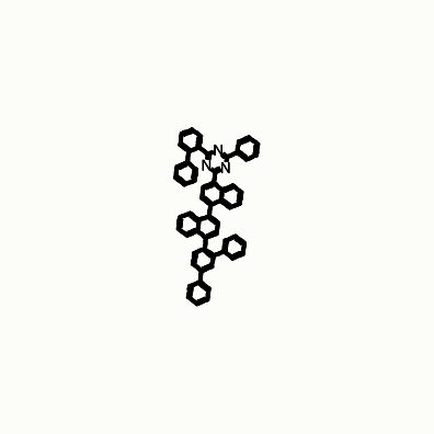 c1ccc(-c2ccc(-c3ccc(-c4ccc(-c5nc(-c6ccccc6)nc(-c6ccccc6-c6ccccc6)n5)c5ccccc45)c4ccccc34)c(-c3ccccc3)c2)cc1